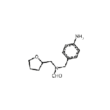 Nc1ccc(CN(C=O)CC2CCCO2)cc1